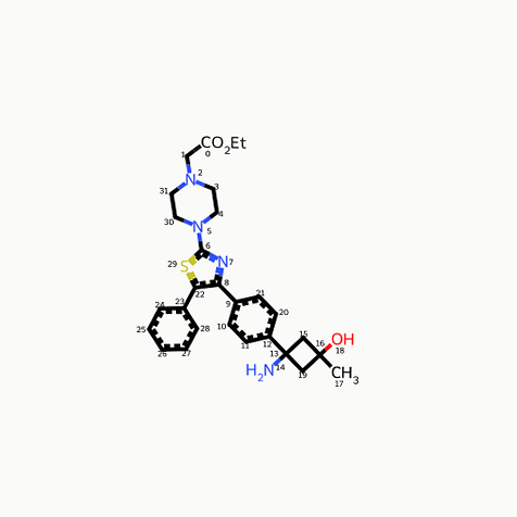 CCOC(=O)CN1CCN(c2nc(-c3ccc(C4(N)CC(C)(O)C4)cc3)c(-c3ccccc3)s2)CC1